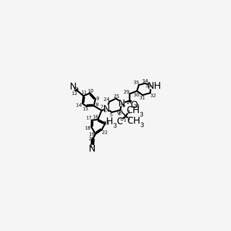 CC(C)(C)[C@H]1CN(C(c2ccc(C#N)cc2)c2ccc(C#N)cc2)CCN1C(=O)CC1CCNCC1